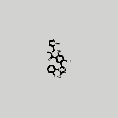 CN(Cc1cccn1C)C(=O)c1cc(-c2nnc(O)n2-c2ccccc2F)c(O)cc1O